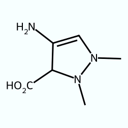 CN1C=C(N)C(C(=O)O)N1C